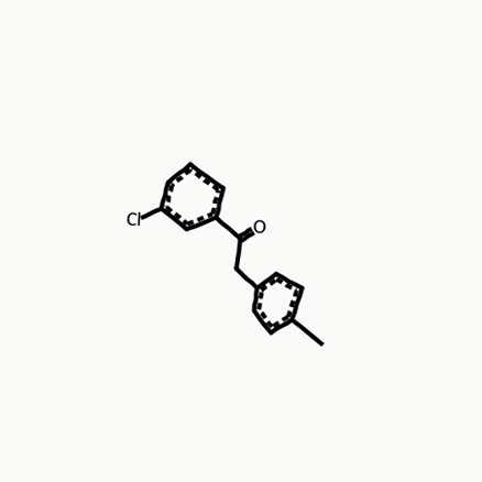 Cc1ccc(CC(=O)c2cccc(Cl)c2)cc1